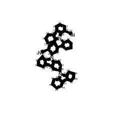 N#Cc1ccc(-c2ccccc2-n2c3ccccc3c3cccc(C#N)c32)cc1-n1c2ccccc2c2cc(-n3c4ccccc4c4ccccc43)ccc21